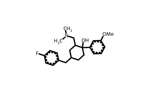 COc1cccc(C2(O)CCC(Cc3ccc(F)cc3)CC2CN(C)C)c1